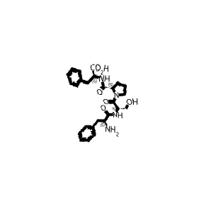 N[C@@H](Cc1ccccc1)C(=O)N[C@@H](CO)C(=O)N1CCC[C@H]1C(=O)N[C@@H](Cc1ccccc1)C(=O)O